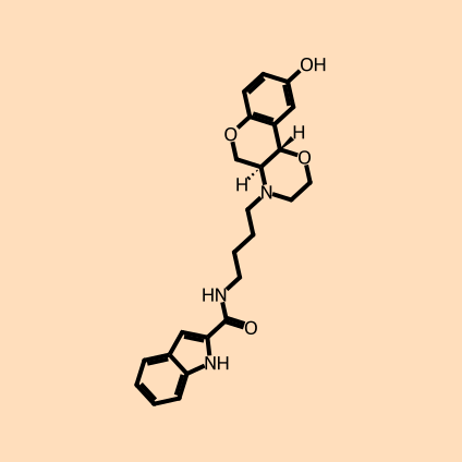 O=C(NCCCCN1CCO[C@H]2c3cc(O)ccc3OC[C@@H]21)c1cc2ccccc2[nH]1